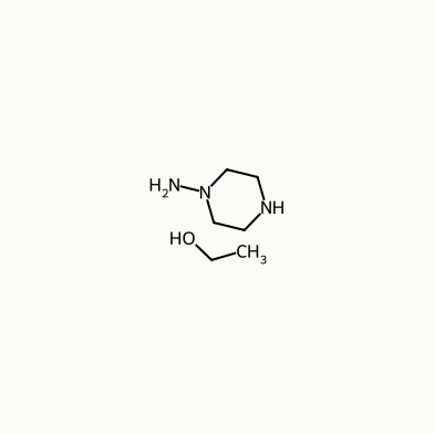 CCO.NN1CCNCC1